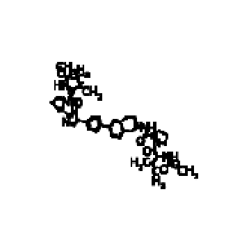 COC(=O)NC(C(=O)N1CCC[C@H]1C(=O)N[C@H]1CCc2cc(-c3ccc(-c4cnc([C@@H]5CCCN5C(=O)[C@@H](NC(=O)OC)C(C)C)[nH]4)cc3)ccc2C1)C(C)C